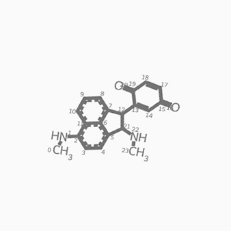 CNc1ccc2c3c(cccc13)C(C1=CC(=O)C=CC1=O)C2NC